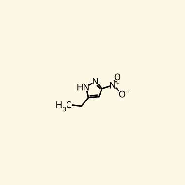 CCc1cc([N+](=O)[O-])n[nH]1